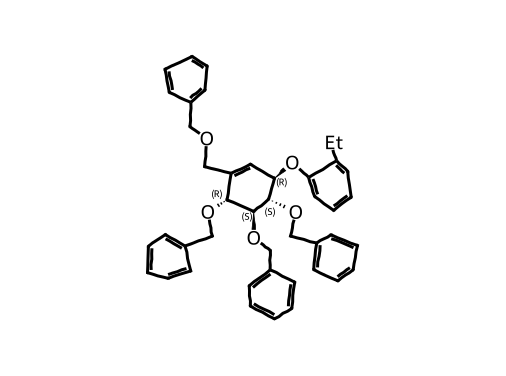 CCc1ccccc1O[C@@H]1C=C(COCc2ccccc2)[C@@H](OCc2ccccc2)[C@H](OCc2ccccc2)[C@H]1OCc1ccccc1